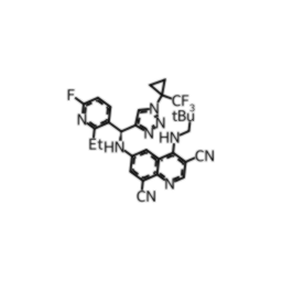 CCc1nc(F)ccc1[C@H](Nc1cc(C#N)c2ncc(C#N)c(NCC(C)(C)C)c2c1)c1cn(C2(C(F)(F)F)CC2)nn1